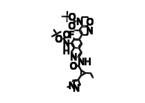 CCC1C(C(=O)Nc2cc3cc(-c4cnc5c(c4C)N(C(=O)OC(C)(C)C)CCO5)c(F)c(NC(=O)OC(C)(C)C)c3cn2)C1c1cnn(C)c1